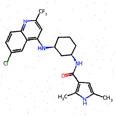 Cc1cc(C(=O)N[C@@H]2CCC[C@H](Nc3cc(C(F)(F)F)nc4ccc(Cl)cc34)C2)c(C)[nH]1